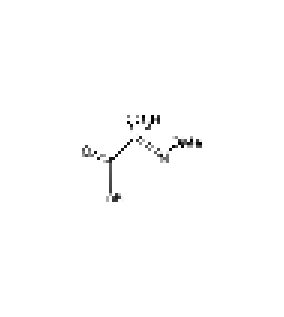 CCCC(=O)C(=NOC)C(=O)O